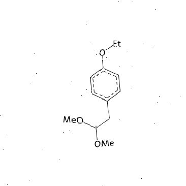 CCOc1ccc(C[C](OC)OC)cc1